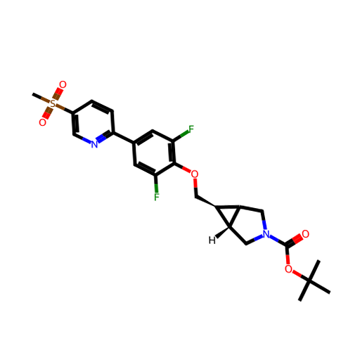 CC(C)(C)OC(=O)N1CC2[C@H](COc3c(F)cc(-c4ccc(S(C)(=O)=O)cn4)cc3F)[C@H]2C1